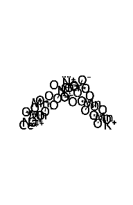 O=[N+]([O-])[O-].[Ce+4].[K+].[N+].[Na+].[O]=[Cr](=[O])([O-])[O][Cr](=[O])(=[O])[O-].[O]=[Mn](=[O])(=[O])[O-].[O]=[Mn](=[O])(=[O])[O-].[O]=[Mn](=[O])(=[O])[O-].[O]=[Mn](=[O])(=[O])[O-]